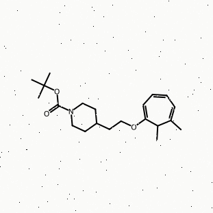 CC1=CC=CC=C(OCCC2CCN(C(=O)OC(C)(C)C)CC2)C1C